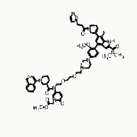 COC(=O)Cn1cc(N(CCOCCOCCN2CCN(c3ccc(-c4cc(C5=CCCN(C(=O)CCn6ccnn6)C5)c(F)c5[nH]c(C(=O)N(C)C)cc45)c(OC)c3)CC2)C(=O)C2CCCN(c3cncc4ccccc34)C2)ccc1=O